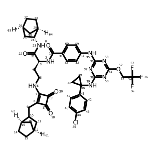 O=C(N[C@@H](CCNc1c(CC2C[C@H]3CC[C@@H]2C3)c(=O)c1=O)C(=O)N[C@@H]1C[C@H]2CC[C@@H]1C2)c1ccc(Nc2nc(NC3(c4ccc(Cl)cc4)CC3)nc(OCC(F)(F)F)n2)cc1